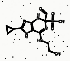 O=CC1(S(=O)(=O)O)N=C(NCCO)c2[nH]c(C3CC3)nc2N1